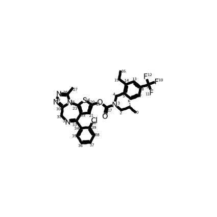 CCCN(Cc1ccc(C(F)(F)F)cc1CC)C(=O)Oc1cc2c(s1)-n1c(C)nnc1CN=C2c1ccccc1Cl